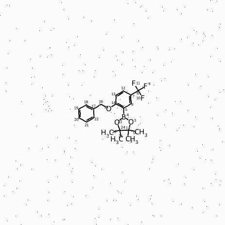 CC1(C)OB(c2cc(C(F)(F)F)ccc2OCc2ccccc2)OC1(C)C